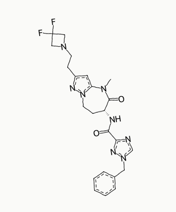 CN1C(=O)[C@H](NC(=O)c2ncn(Cc3ccccc3)n2)CCn2nc(CCN3CC(F)(F)C3)cc21